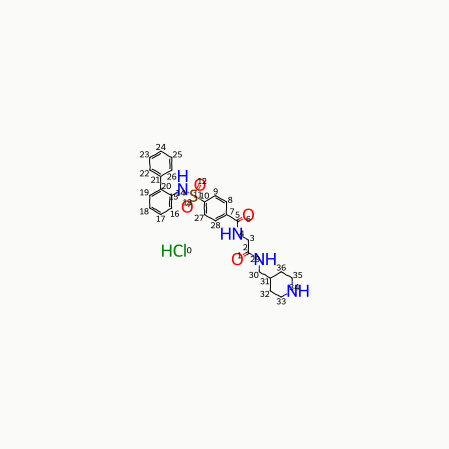 Cl.O=C(CNC(=O)c1ccc(S(=O)(=O)Nc2ccccc2-c2ccccc2)cc1)NCC1CCNCC1